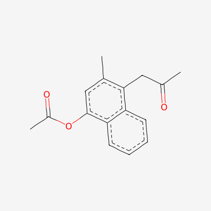 CC(=O)Cc1c(C)cc(OC(C)=O)c2ccccc12